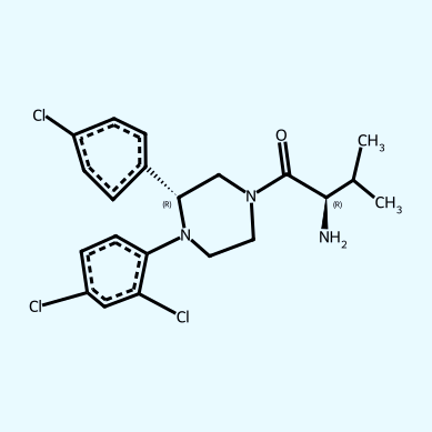 CC(C)[C@@H](N)C(=O)N1CCN(c2ccc(Cl)cc2Cl)[C@H](c2ccc(Cl)cc2)C1